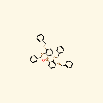 [O-][S+](c1cccc(SCc2ccccc2)c1SCc1ccccc1)c1cccc(SCc2ccccc2)c1SCc1ccccc1